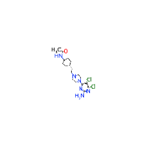 CC(=O)N[C@H]1CC[C@H](CCN2CCN(c3nc(N)nc(Cl)c3Cl)CC2)CC1